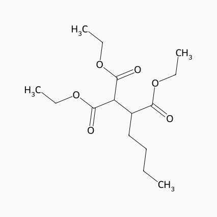 CCCCC(C(=O)OCC)C(C(=O)OCC)C(=O)OCC